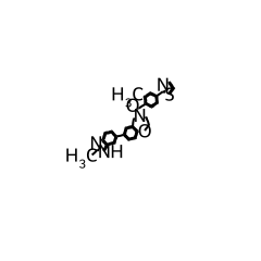 Cc1nc2ccc(-c3ccc4c(c3)CN(C(=O)c3ccc(-c5nccs5)cc3C)CCO4)cc2[nH]1